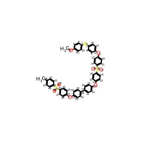 COc1ccc(Sc2ccc(Oc3ccc(S(=O)(=O)c4ccc(Oc5ccc(-c6ccc(Oc7ccc(S(=O)(=O)c8ccc(C)cc8)cc7)cc6)cc5)cc4)cc3)cc2)cc1